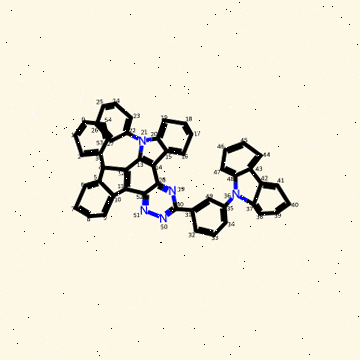 c1ccc(C2c3ccccc3-c3c2c2c(c4ccccc4n2-c2ccccc2)c2nc(-c4cccc(-n5c6ccccc6c6ccccc65)c4)nnc32)cc1